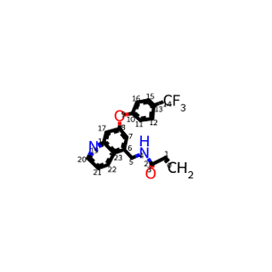 C=CC(=O)NCc1cc(Oc2ccc(C(F)(F)F)cc2)cc2ncccc12